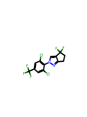 FC(F)(F)c1cc(Cl)c(-n2cc3c(n2)CCC3(F)F)c(Cl)c1